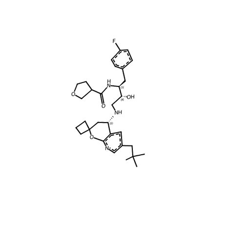 CC(C)(C)Cc1cnc2c(c1)[C@@H](NC[C@@H](O)[C@H](Cc1ccc(F)cc1)NC(=O)C1CCOC1)CC1(CCC1)O2